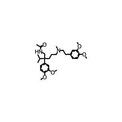 COc1ccc(CCN(C)CCCC(CNC(C)=O)(c2ccc(OC)c(OC)c2)C(C)C)cc1OC